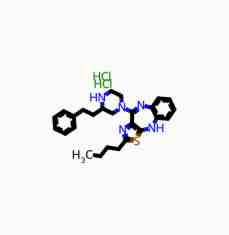 CCCCc1nc2c(s1)Nc1ccccc1N=C2N1CCNC(CCc2ccccc2)C1.Cl.Cl